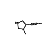 CC#CC1CNCN1C